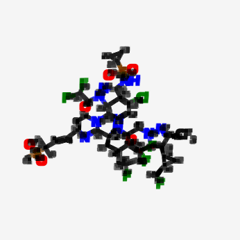 CC(C)(C#Cc1cc(=O)n(-c2ccc(Cl)c3c(NS(=O)(=O)C4CC4)nn(CC(F)F)c23)c([C@H](Cc2cc(F)cc(F)c2)NC(=O)Cn2nc(C(F)(F)F)c([C@H]3C[C@H]3CF)c2CF)n1)S(C)(=O)=O